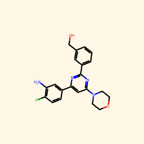 Nc1cc(-c2cc(N3CCOCC3)nc(-c3cccc(CO)c3)n2)ccc1F